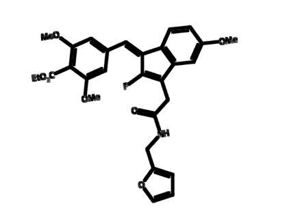 CCOC(=O)c1c(OC)cc(C=C2C(F)=C(CC(=O)NCc3ccco3)c3cc(OC)ccc32)cc1OC